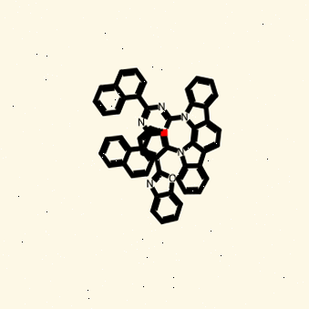 c1ccc(-n2c3ccccc3c3ccc4c5ccccc5n(-c5nc(-c6cccc7ccccc67)nc(-c6cccc7ccccc67)n5)c4c32)c(-c2nc3ccccc3o2)c1